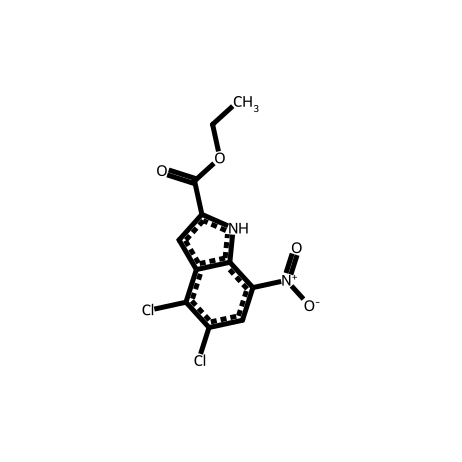 CCOC(=O)c1cc2c(Cl)c(Cl)cc([N+](=O)[O-])c2[nH]1